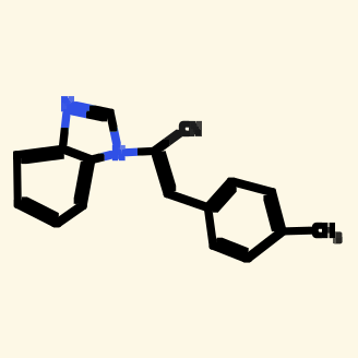 Cc1ccc(C=C(C#N)n2cnc3ccccc32)cc1